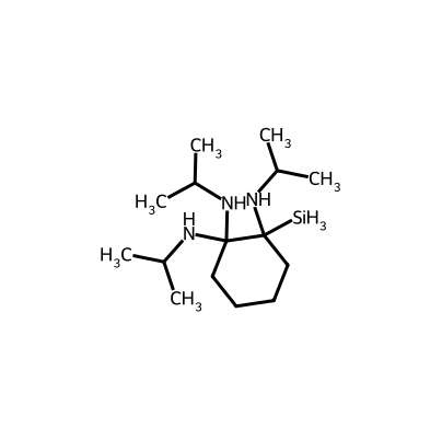 CC(C)NC1([SiH3])CCCCC1(NC(C)C)NC(C)C